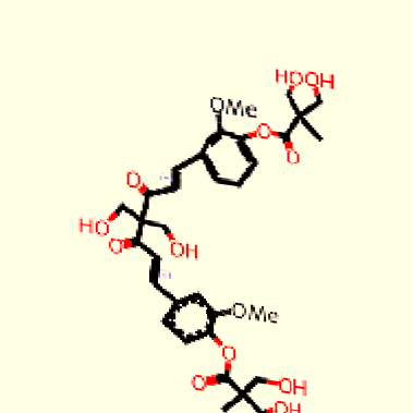 COC1=CC(/C=C/C(=O)C(CO)(CO)C(=O)/C=C/c2ccc(OC(=O)C(C)(CO)CO)c(OC)c2)=CCC=C1OC(=O)C(C)(CO)CO